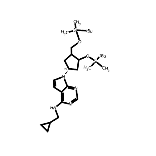 CC(C)(C)[Si](C)(C)OCC1C[C@@H](n2ccc3c(NCC4CC4)ncnc32)CC1O[Si](C)(C)C(C)(C)C